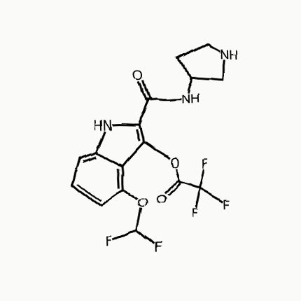 O=C(NC1CCNC1)c1[nH]c2cccc(OC(F)F)c2c1OC(=O)C(F)(F)F